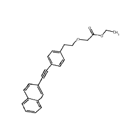 CCOC(=O)COCCc1ccc(C#Cc2ccc3ccccc3c2)cc1